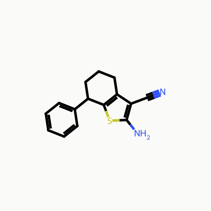 N#Cc1c(N)sc2c1CCCC2c1ccccc1